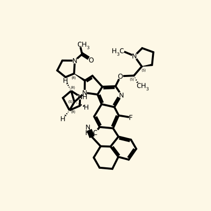 CC(=O)N1CCC[C@@H]1c1cc2c(O[C@@H](C)[C@@H]3CCCN3C)nc3c(F)c(-c4cccc5c4C(C#N)CCC5)c(C)cc3c2n1[C@H]1[C@H]2CN[C@@H]1C2